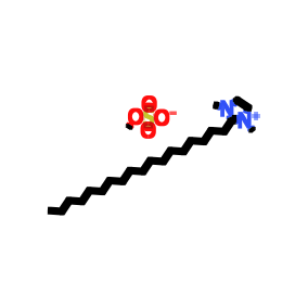 CCCCCCCCCCCCCCCCCCC1=[N+](C)CCN1C.COS(=O)(=O)[O-]